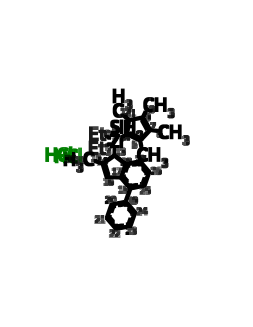 C[CH2][Zr](=[SiH2])([CH2]C)([C]1=C(C)C(C)=C(C)C1C)[CH]1C(C)=Cc2c(-c3ccccc3)cccc21.Cl.Cl